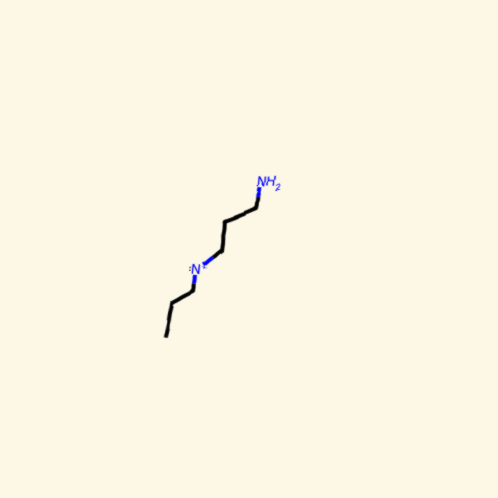 CCC[N+]CCCN